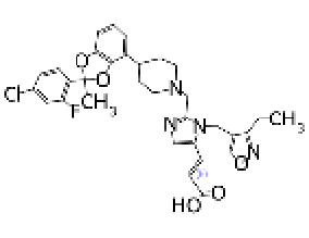 CCc1nocc1Cn1c(/C=C/C(=O)O)cnc1CN1CCC(c2cccc3c2OC(C)(c2ccc(Cl)cc2F)O3)CC1